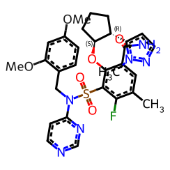 COc1ccc(CN(c2ccncn2)S(=O)(=O)c2c(F)c(C)cc(C(N)=O)c2O[C@H]2CCC[C@@H]2c2ccnn2C)c(OC)c1